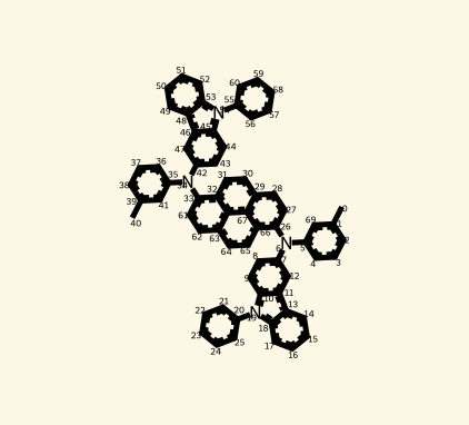 Cc1cccc(N(c2ccc3c(c2)c2ccccc2n3-c2ccccc2)c2ccc3ccc4c(N(c5cccc(C)c5)c5ccc6c(c5)c5ccccc5n6-c5ccccc5)ccc5ccc2c3c54)c1